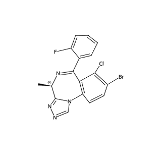 C[C@H]1N=C(c2ccccc2F)c2c(ccc(Br)c2Cl)-n2cnnc21